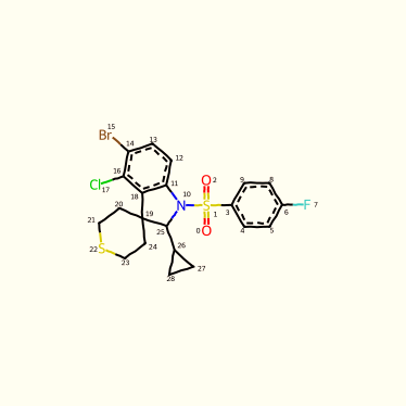 O=S(=O)(c1ccc(F)cc1)N1c2ccc(Br)c(Cl)c2C2(CCSCC2)C1C1CC1